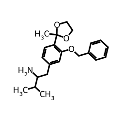 CC(C)C(N)Cc1ccc(C2(C)OCCO2)c(OCc2ccccc2)c1